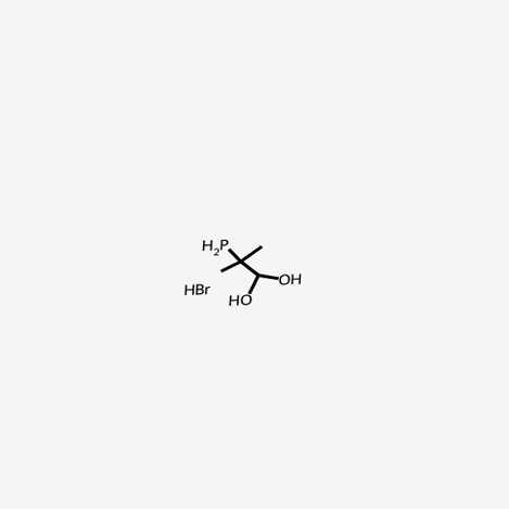 Br.CC(C)(P)C(O)O